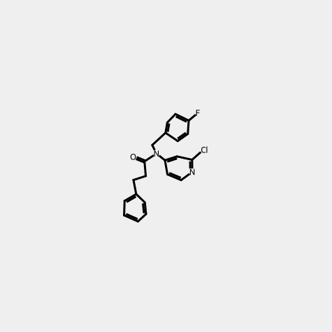 O=C(CCc1ccccc1)N(Cc1ccc(F)cc1)c1ccnc(Cl)c1